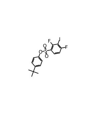 CC(C)(C)c1ccc(OS(=O)(=O)c2ccc(F)c(I)c2F)cc1